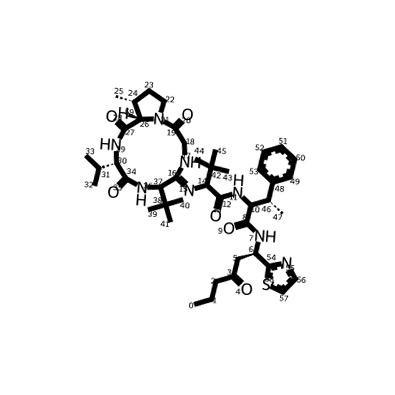 CCCC(=O)C[C@@H](NC(=O)C(NC(=O)C(/N=C1\NCC(=O)N2CC[C@@H](C)[C@H]2C(=O)N[C@@H](C(C)C)C(=O)NC1C(C)(C)C)C(C)(C)C)[C@@H](C)c1ccccc1)c1nccs1